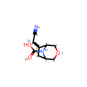 N#CC=C1CC2COCC1N2C(=O)O